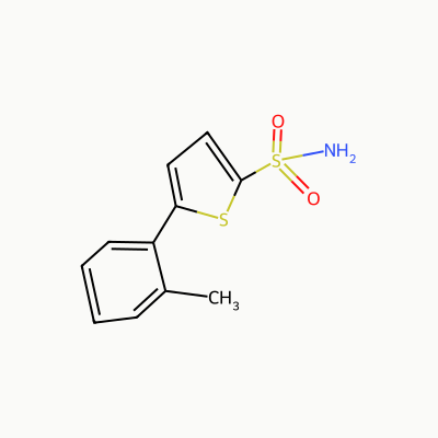 Cc1ccccc1-c1ccc(S(N)(=O)=O)s1